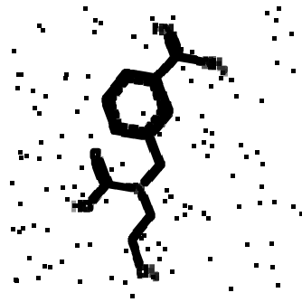 CCCN(Cc1cccc(C(=N)N)c1)C(=O)O